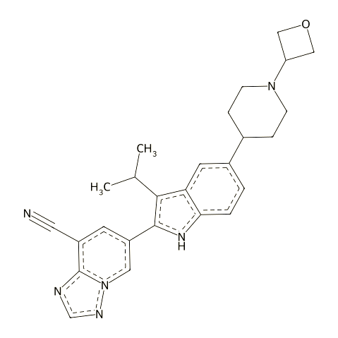 CC(C)c1c(-c2cc(C#N)c3ncnn3c2)[nH]c2ccc(C3CCN(C4COC4)CC3)cc12